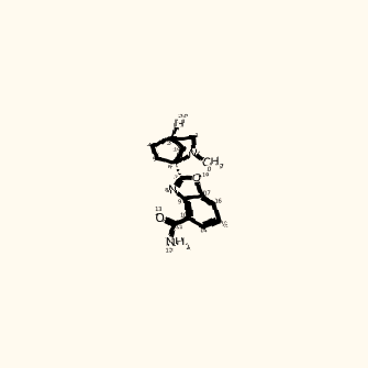 CN1C[C@H]2CC[C@@]1(c1nc3c(C(N)=O)cccc3o1)C2